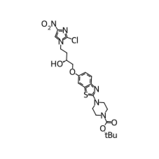 CC(C)(C)OC(=O)N1CCN(c2nc3ccc(OC[C@@H](O)CCn4cc([N+](=O)[O-])nc4Cl)cc3s2)CC1